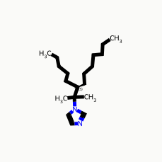 CCCCCCC[C@H](CCCCC)C(C)(C)n1ccnc1